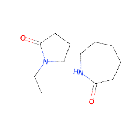 CCN1CCCC1=O.O=C1CCCCCN1